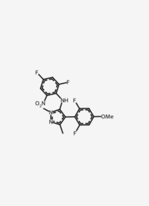 COc1cc(F)c(-c2c(C)nn(C)c2Nc2c(F)cc(F)cc2[N+](=O)[O-])c(F)c1